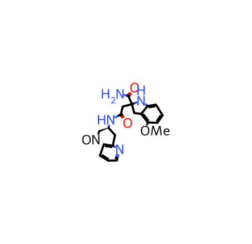 COc1cccc2c1CC(CC(=O)N[C@H](CN=O)Cc1ccccn1)(C(N)=O)N2